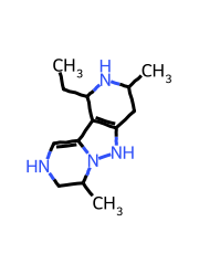 CCC1NC(C)CC2=C1C1=CNCC(C)N1N2